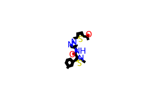 CC(=O)c1ccc(Cn2cc(NC(=O)c3nc(C)sc3-c3cccc(C)c3)cn2)s1